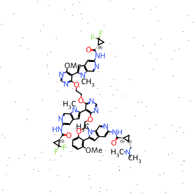 COc1cccc(OCCOc2ncnc(OCCOc3ncnc(OC)c3-c3cc4cc(NC(=O)[C@H]5CC5(F)F)ncc4n3C)c2-c2cc3cc(NC(=O)[C@@H]4CC4(F)F)ncc3n2C)c1-c1cc2cc(NC(=O)[C@H]3C[C@@H]3CN(C)C)ncc2n1C